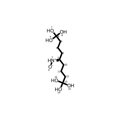 [O-][NH+]=C(CCCC(O)(O)O)CCCC(O)(O)O